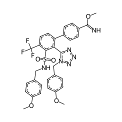 COC(=N)c1ccc(-c2ccc(C(F)(F)F)c(S(=O)(=O)NCc3ccc(OC)cc3)c2-c2nnnn2Cc2ccc(OC)cc2)cc1